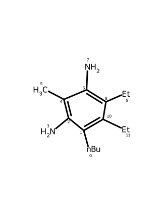 CCCCc1c(N)c(C)c(N)c(CC)c1CC